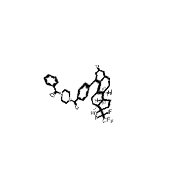 C[C@]12CCC3=C4C(=CC(=O)CC4c4ccc(C(=O)N5CCN(C(=O)c6ccccc6)CC5)cc4)CC[C@H]3[C@@H]1CCC2(O)C(F)(F)C(F)(F)F